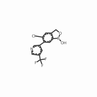 OB1OCc2cc(Cl)c(-c3cncc(C(F)(F)F)c3)cc21